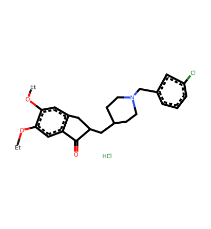 CCOc1cc2c(cc1OCC)C(=O)C(CC1CCN(Cc3cccc(Cl)c3)CC1)C2.Cl